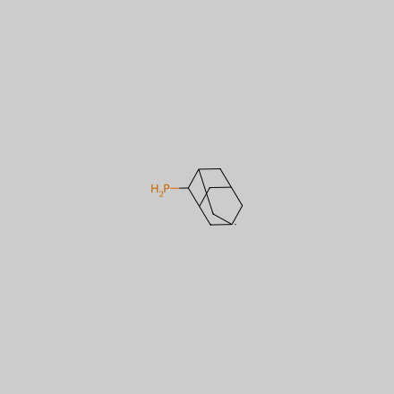 PC1C2C[C]3CC(C2)CC1C3